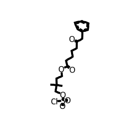 CC(C)(CCOC(=O)CCCCC(=O)Cc1ccccc1)COS(=O)(=O)Cl